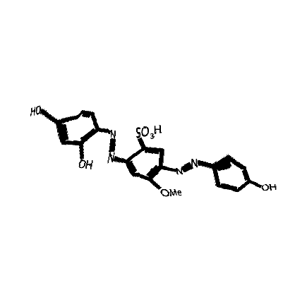 COc1cc(N=Nc2ccc(O)cc2O)c(S(=O)(=O)O)cc1N=Nc1ccc(O)cc1